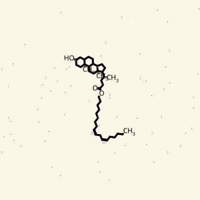 CCCCC/C=C\C/C=C\CCCCCCCCOC(=O)CC[C@@H](C)C1CCC2C3CCC4C[C@H](O)CC[C@]4(C)C3CC[C@@]21C